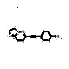 Nc1ccc(C#Cc2ccc3nccn3n2)cc1